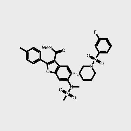 CNC(=O)c1c(-c2ccc(C)cc2)oc2cc(N(C)S(C)(=O)=O)c([C@H]3CCCN(S(=O)(=O)c4cccc(F)c4)C3)cc12